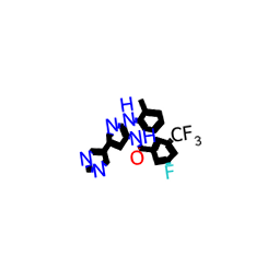 Cc1ccccc1Nc1ncc(-c2cncnc2)cc1NC(=O)c1cc(F)cc(C(F)(F)F)c1